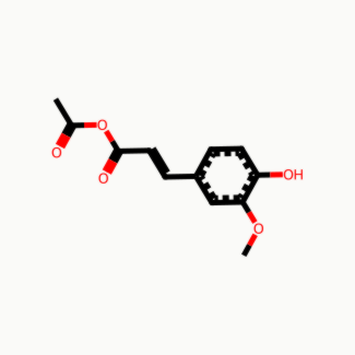 COc1cc(C=CC(=O)OC(C)=O)ccc1O